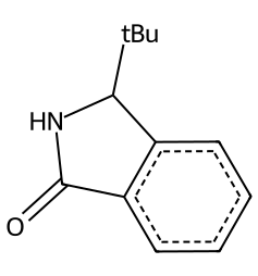 CC(C)(C)C1NC(=O)c2ccccc21